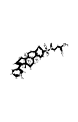 CN(CCC(=O)O)S(=O)(=O)c1ccc2c(c1)CC[C@@H]1[C@@H]2CC[C@]2(C)C(c3cncnc3)=CC[C@@H]12